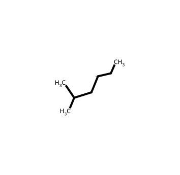 CC[CH]CC(C)C